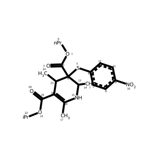 CCCOC(=O)C1(Sc2ccc([N+](=O)[O-])cc2)C(C)NC(C)=C(C(=O)OC(C)C)C1C